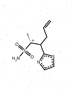 C=CCC(c1nccs1)[C@@H](C)S(N)(=O)=O